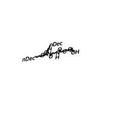 CCCCCCCCCCCCCCOCC(CNC(=O)CCCNC(=O)CCOCCOC(C)(C)CO)OCCCCCCCCCCCCCC